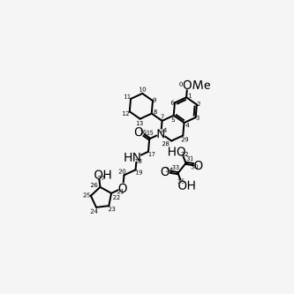 COc1ccc2c(c1)C(C1CCCCC1)N(C(=O)CNCCOC1CCCC1O)CC2.O=C(O)C(=O)O